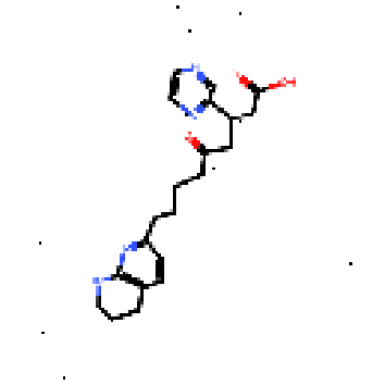 O=C(O)C[C@@H](CC(=O)CCCCc1ccc2c(n1)NCCC2)c1cnccn1